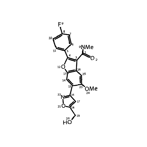 CNC(=O)c1c(-c2ccc(F)cc2)oc2cc(-c3cc(CO)on3)c(OC)cc12